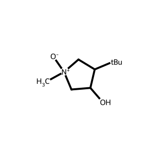 CC(C)(C)C1C[N+](C)([O-])CC1O